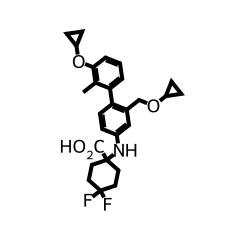 Cc1c(OC2CC2)cccc1-c1ccc(NC2(C(=O)O)CCC(F)(F)CC2)cc1COC1CC1